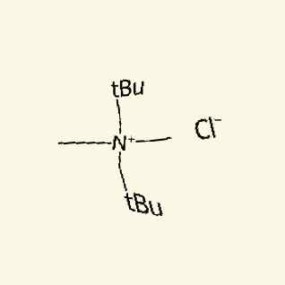 CC(C)(C)[N+](C)(C)C(C)(C)C.[Cl-]